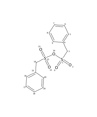 O=S(=O)(Cc1ccccc1)OS(=O)(=O)Cc1ccccc1